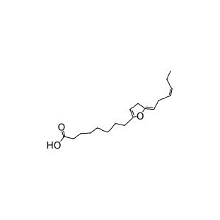 CC/C=C\C/C=C1\CC=C(CCCCCCCC(=O)O)O1